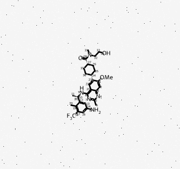 COc1cc2nc(C)nc(N[C@H](C)c3cc(N)cc(C(F)(F)F)c3C)c2cc1[C@H]1CC[C@@H](C(=O)N(C)CCO)CC1